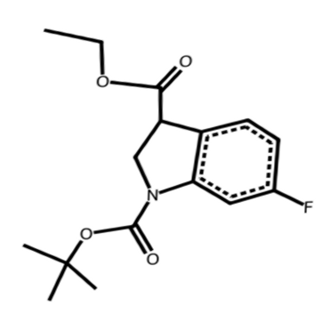 CCOC(=O)C1CN(C(=O)OC(C)(C)C)c2cc(F)ccc21